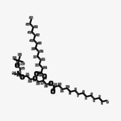 CCCCCCCCCCCCCC(=O)OCC(COCCON(C)COC(C)(C)C)OC(=O)CCCCCCCCCCCCC